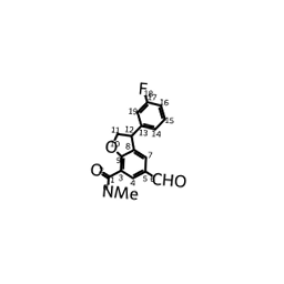 CNC(=O)c1cc(C=O)cc2c1OCC2c1cccc(F)c1